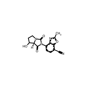 Cc1nc2c(N3C(=O)[C@@H]4C(O)CCN4C3=O)ccc(C#N)c2o1